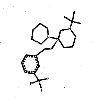 CC(C)(C)N1CCC[C@](CCc2cccc(C(F)(F)F)c2)(N2CCCCC2)C1